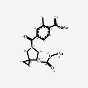 CNC(=O)c1ccc(C(=O)N2CC(NC(=O)OC(C)(C)C)C3(CC3)C2)cc1C